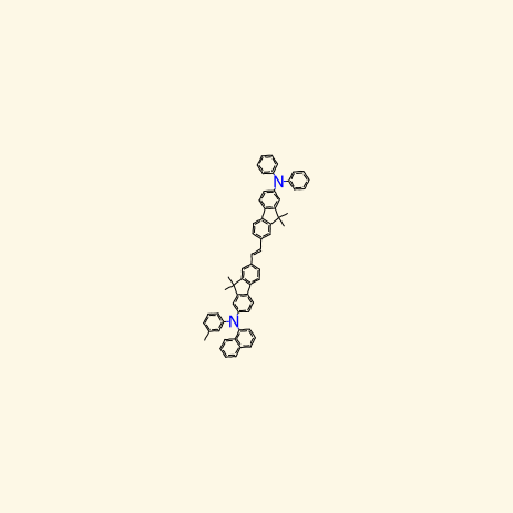 Cc1cccc(N(c2ccc3c(c2)C(C)(C)c2cc(/C=C/c4ccc5c(c4)C(C)(C)c4cc(N(c6ccccc6)c6ccccc6)ccc4-5)ccc2-3)c2cccc3ccccc23)c1